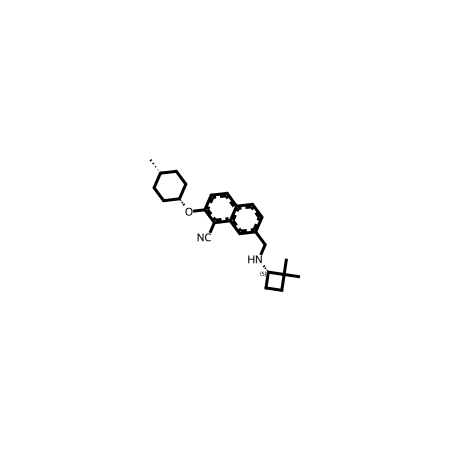 CC1(C)CC[C@@H]1NCc1ccc2ccc(O[C@H]3CC[C@@H](C)CC3)c(C#N)c2c1